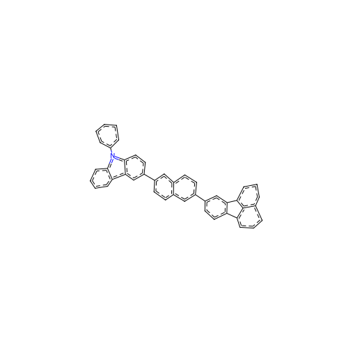 c1ccc(-n2c3ccccc3c3cc(-c4ccc5cc(-c6ccc7c(c6)-c6cccc8cccc-7c68)ccc5c4)ccc32)cc1